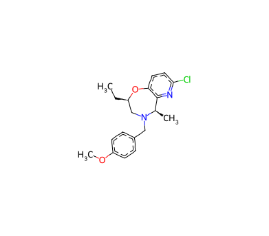 CC[C@@H]1CN(Cc2ccc(OC)cc2)[C@H](C)c2nc(Cl)ccc2O1